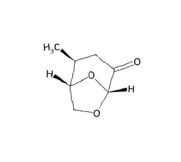 C[C@H]1CC(=O)[C@@H]2OC[C@H]1O2